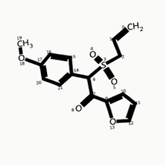 C=CCS(=O)(=O)C(C(=O)c1ccco1)c1ccc(OC)cc1